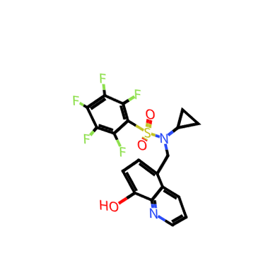 O=S(=O)(c1c(F)c(F)c(F)c(F)c1F)N(Cc1ccc(O)c2ncccc12)C1CC1